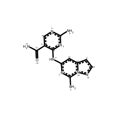 Bc1nc(Nc2nc(N)ncc2C(N)=O)cc2ccnn12